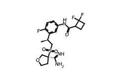 C[C@H](CS(=O)(=O)[C@@]1(C(=N)N)CCOC1)c1cc(NC(=O)C2CCC2(F)F)ccc1F